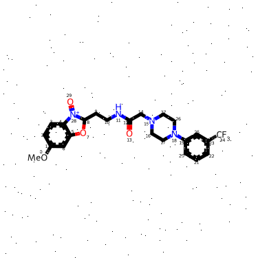 COc1ccc2c(c1)OC(CCNC(=O)CN1CCN(c3cccc(C(F)(F)F)c3)CC1)[N+]2=O